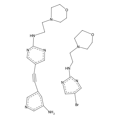 Brc1cnc(NCCN2CCOCC2)nc1.Nc1cncc(C#Cc2cnc(NCCN3CCOCC3)nc2)c1